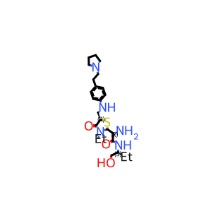 CC[C@@H](CO)NC(=O)[C@@H](N)C1S[C@H](CNc2ccc(CCN3CCCC3)cc2)C(=O)N1CC